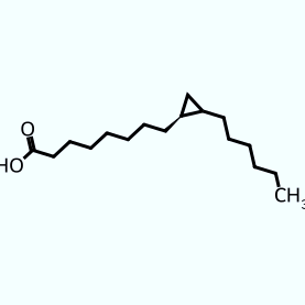 CCCCCCC1C[C@@H]1CCCCCCCC(=O)O